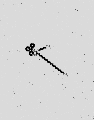 C=CCCCCO[C@@H](COC(c1ccccc1)(c1ccccc1)c1ccccc1)[C@H](O)CCCCCCCCCCCCCCCCCCCC